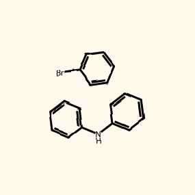 Brc1ccccc1.c1ccc(Nc2ccccc2)cc1